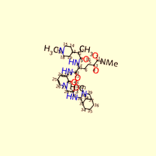 CNC(=O)C(=O)CC[C@H](NC(=O)C(C)C1CCN(C)CC1)C(=O)Nc1cccn(CC(=O)NC2C3CCCC(C3)CN2C)c1=O